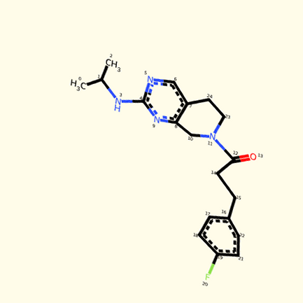 CC(C)Nc1ncc2c(n1)CN(C(=O)CCc1ccc(F)cc1)CC2